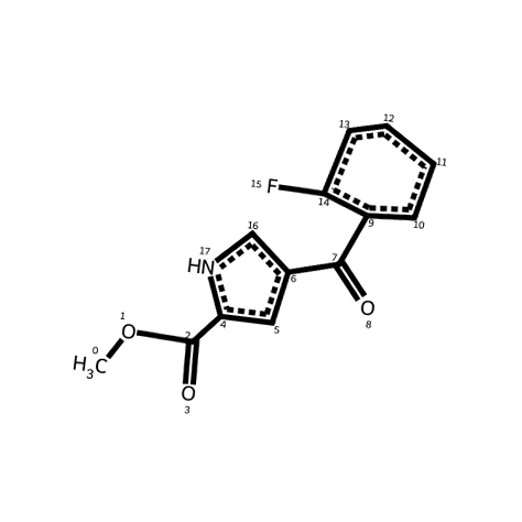 COC(=O)c1cc(C(=O)c2ccccc2F)c[nH]1